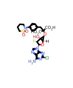 Nc1nc(Cl)nc2c1ncn2[C@@H]1O[C@@H]2C(OC(Cc3ccc(N4CCCCS4(=O)=O)cc3)(C(=O)O)C(=O)O)[C@]2(O)[C@@H]1F